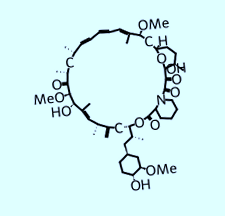 C=C1C[C@@H]([C@H](C)C[C@@H]2CC[C@@H](O)[C@H](OC)C2)OC(=O)C2CCCCN2C(=O)C(=O)[C@]2(O)O[C@@H](CC[C@H]2C)C[C@H](OC)/C(C)=C/C=C/C=C/[C@@H](C)C[C@@H](C)C(=O)[C@H](OC)[C@@H](O)/C(C)=C/[C@H]1C